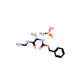 CCNC(=O)[C@H](C)NC(=O)OCc1ccccc1.C[PH](=O)O